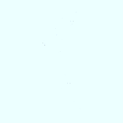 Cc1ccc(/C=C/C2=NCCc3cc(OCc4ccccc4)ccc32)o1